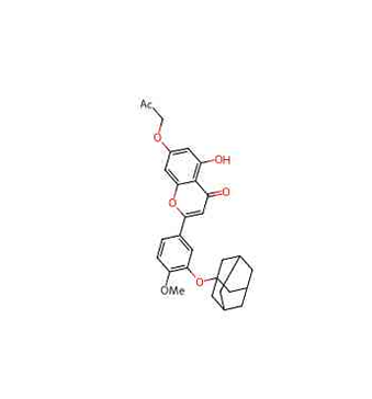 COc1ccc(-c2cc(=O)c3c(O)cc(OCC(C)=O)cc3o2)cc1OC12CC3CC(CC(C3)C1)C2